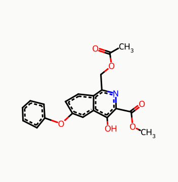 COC(=O)c1nc(COC(C)=O)c2ccc(Oc3ccccc3)cc2c1O